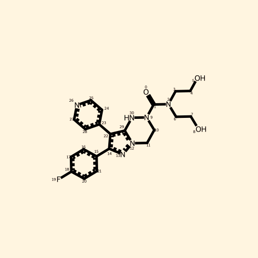 O=C(N(CCO)CCO)N1CCn2nc(-c3ccc(F)cc3)c(-c3ccncc3)c2N1